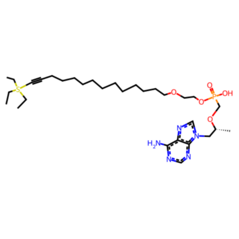 CCS(C#CCCCCCCCCCCCCOCCOP(=O)(O)CO[C@H](C)Cn1cnc2c(N)ncnc21)(CC)CC